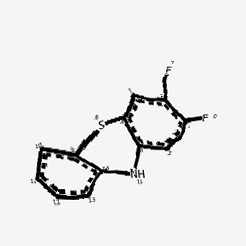 Fc1cc2c(cc1F)Sc1ccccc1N2